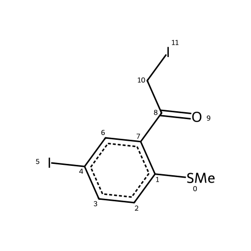 CSc1ccc(I)cc1C(=O)CI